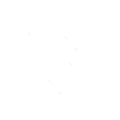 O=C(Nc1ccnc(N2CCC2)c1)N1CCOc2ccc(-c3cccc(C(F)(F)F)c3)nc21